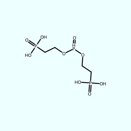 O=[PH](OCCP(=O)(O)O)OCCP(=O)(O)O